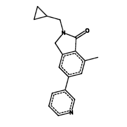 Cc1cc(-c2cccnc2)cc2c1C(=O)N(CC1CC1)C2